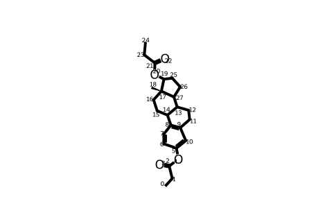 CCC(=O)Oc1ccc2c(c1)CCC1C2CC[C@]2(C)C(OC(=O)CC)CCC12